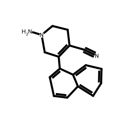 N#CC1=C(c2cccc3ccccc23)CN(N)CC1